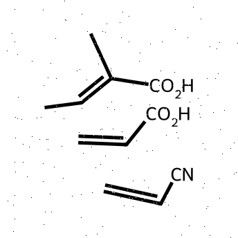 C=CC#N.C=CC(=O)O.CC=C(C)C(=O)O